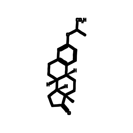 CC(Oc1ccc2c(c1)CC[C@@H]1[C@@H]2CC[C@]2(C)C(=O)CC[C@@H]12)C(=O)O